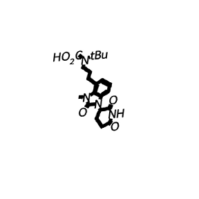 Cn1c(=O)n(C2CCC(=O)NC2=O)c2cccc(CCCN(C(=O)O)C(C)(C)C)c21